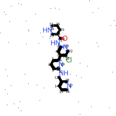 O=C(Nc1cc(-c2cccc(NCc3cccnc3)n2)c(Cl)cn1)[C@@H]1CCCNC1